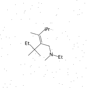 CCN(C)C/C(=C(/C)C(C)C)C(C)(C)CC